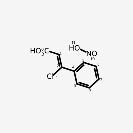 O=C(O)C=C(Cl)c1ccccc1.O=NO